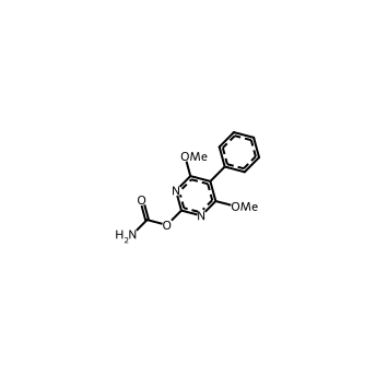 COc1nc(OC(N)=O)nc(OC)c1-c1ccccc1